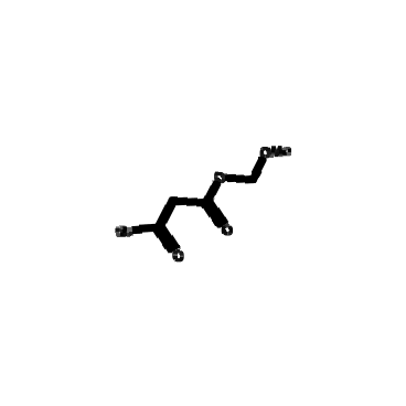 COCOC(=O)CC(=O)C(C)(C)C